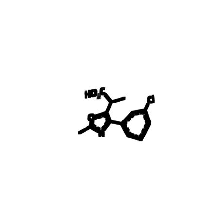 Cc1nc(-c2cccc(Cl)c2)c(C(C)C(=O)O)o1